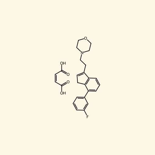 Fc1cccc(-c2cccc3c2CC=C3CCN2CCOCC2)c1.O=C(O)/C=C\C(=O)O